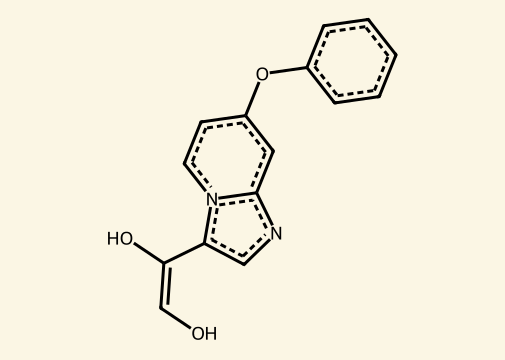 O/C=C(/O)c1cnc2cc(Oc3ccccc3)ccn12